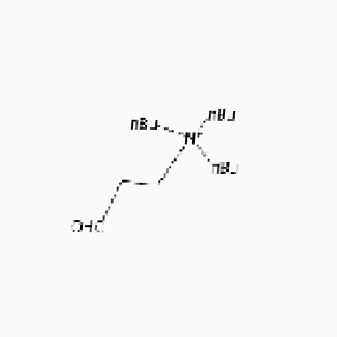 CCCC[N+](CCC=O)(CCCC)CCCC